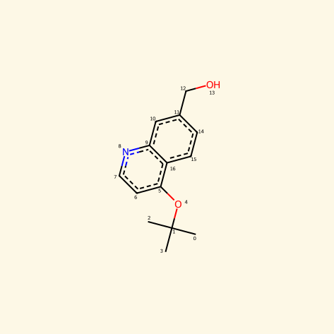 CC(C)(C)Oc1ccnc2cc(CO)ccc12